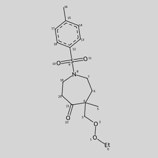 CCOOCC1(C)CCN(S(=O)(=O)c2ccc(C)cc2)CCC1=O